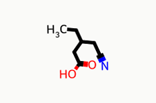 CCC(CC#N)CC(=O)O